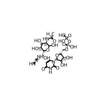 CC(=O)N[C@H]1C(O)O[C@H](CO)[C@@H](O)[C@@H]1O.N=[N+]=N.O=c1ccn([C@@H]2O[C@H](COP(=O)(O)OP(=O)(O)O)[C@@H](O)[C@H]2O)c(=O)[nH]1